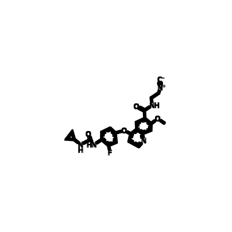 [C-]#[N+]CCNC(=O)c1cc2c(Oc3ccc(NC(=O)NC4CC4)c(F)c3)ccnc2cc1OC